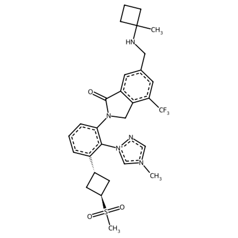 Cn1cn[n+](-c2c(N3Cc4c(cc(CNC5(C)CCC5)cc4C(F)(F)F)C3=O)cccc2[C@H]2C[C@H](S(C)(=O)=O)C2)c1